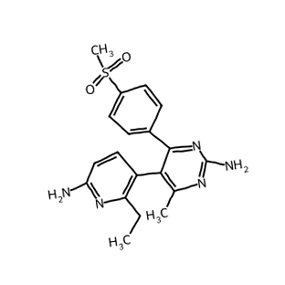 CCc1nc(N)ccc1-c1c(C)nc(N)nc1-c1ccc(S(C)(=O)=O)cc1